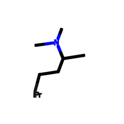 CC(C)CCC(C)N(C)C